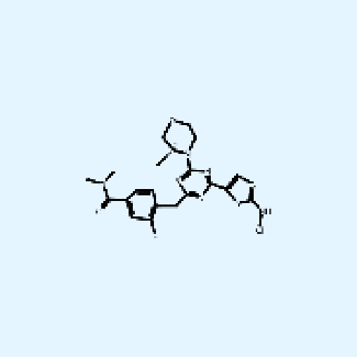 C[C@H]1COCCN1c1nc(Cc2ccc(C(=O)N(C)C)cc2F)nc(-c2cnc(NCl)s2)n1